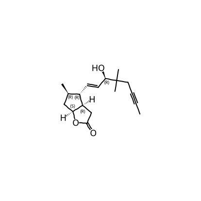 CC#CCC(C)(C)[C@H](O)C=C[C@@H]1[C@H]2CC(=O)O[C@H]2C[C@H]1C